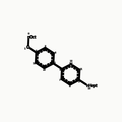 CCCCCCCCOc1ccc(-c2ccc(CCCCCCC)cn2)cc1